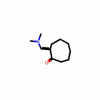 CN(C)C=C1CCCCCCC1=O